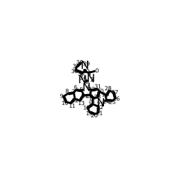 Cc1nc(-n2c3cc4ccccc4cc3c3c4c5ccccc5n5c6ccccc6c(cc32)c45)nc2cccnc12